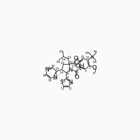 COc1cc(C(=O)N2C(c3nccs3)C(c3cnccn3)CC2(CC(C)C)C(=O)O)ccc1C(C)(C)C